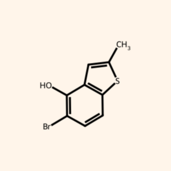 Cc1cc2c(O)c(Br)ccc2s1